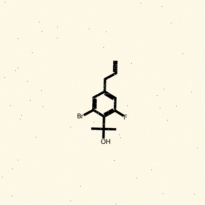 C=CCc1cc(F)c(C(C)(C)O)c(Br)c1